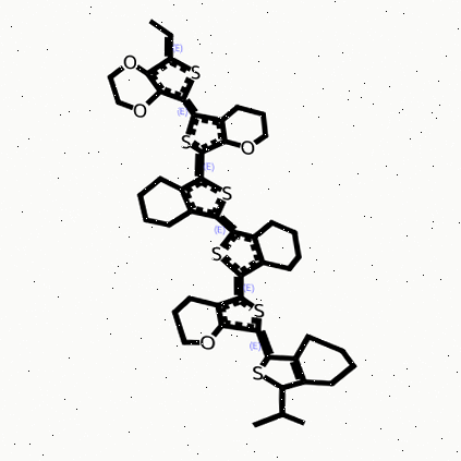 C/C=c1/s/c(=c2/s/c(=c3/s/c(=c4/s/c(=c5/s/c(=C6/SC(C(C)C)C7=C6CCCC7)c6c5CCCO6)c5c4CCCC5)c4c3CCCC4)c3c2CCCO3)c2c1OCCO2